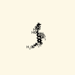 COCCCOc1cc(C[C@@H](C[C@H](N)[C@@H](O)CNS(=O)(=O)c2cccs2)C(C)C)ccc1OC.Cl